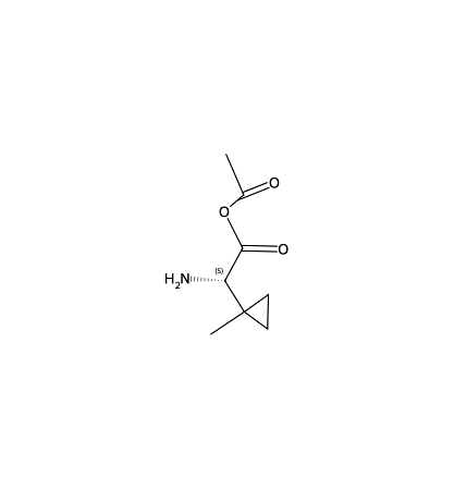 CC(=O)OC(=O)[C@@H](N)C1(C)CC1